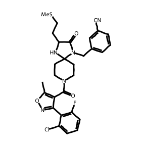 CSCCC1NC2(CCN(C(=O)c3c(-c4c(F)cccc4Cl)noc3C)CC2)N(Cc2cccc(C#N)c2)C1=O